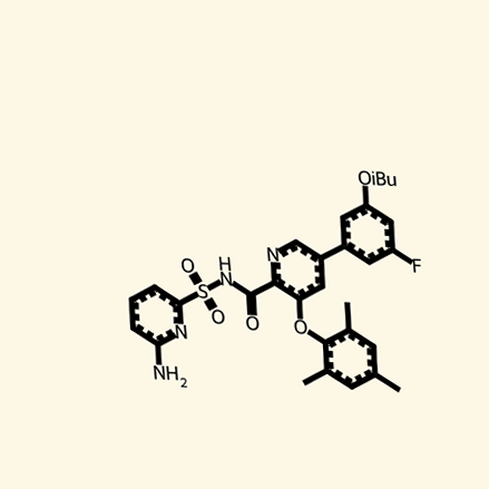 Cc1cc(C)c(Oc2cc(-c3cc(F)cc(OCC(C)C)c3)cnc2C(=O)NS(=O)(=O)c2cccc(N)n2)c(C)c1